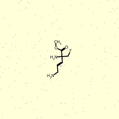 COC(=O)C(N)(/C=C/CN)CF